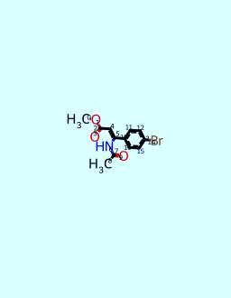 COC(=O)C=C(NC(C)=O)c1ccc(Br)cc1